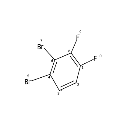 Fc1c[c]c(Br)c(Br)c1F